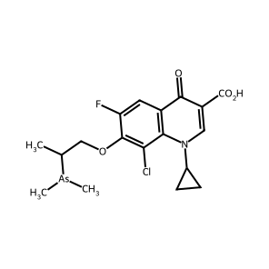 CC(COc1c(F)cc2c(=O)c(C(=O)O)cn(C3CC3)c2c1Cl)[As](C)C